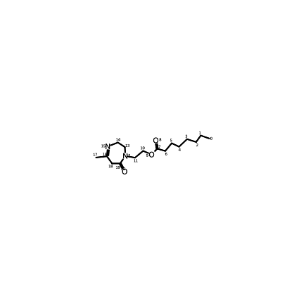 CCCCCCCC(=O)OCCN1CCN=C(C)CC1=O